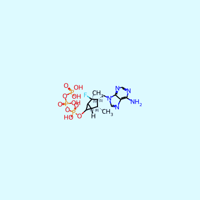 C[C@@H]1[C@@H]2C(OP(=O)(O)OP(=O)(O)OP(=O)(O)O)C2[C@@](C)(F)[C@@H]1Cn1cnc2c(N)ncnc21